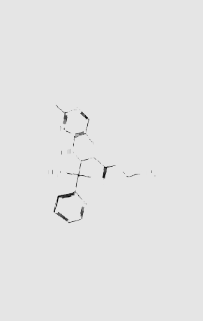 CCOC(=O)CC(Nc1nc(Cl)ncc1F)C(C)(C)c1ccccn1